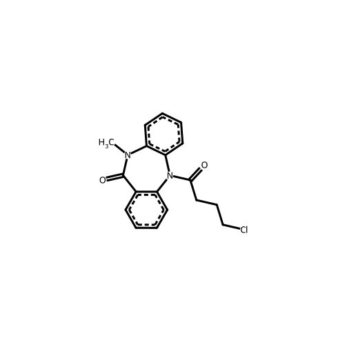 CN1C(=O)c2ccccc2N(C(=O)CCCCl)c2ccccc21